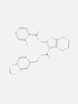 Nc1ccccc1C(=O)Nc1sc2c(c1C(=O)NCc1ccc3c(c1)OCO3)CCCC2